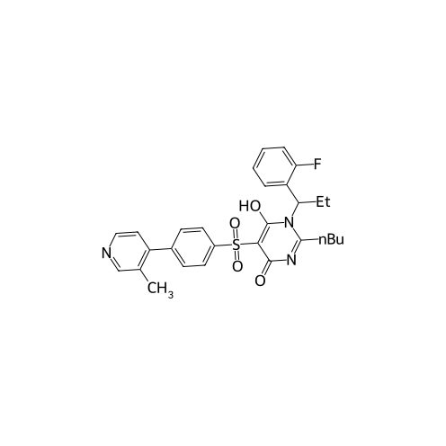 CCCCc1nc(=O)c(S(=O)(=O)c2ccc(-c3ccncc3C)cc2)c(O)n1C(CC)c1ccccc1F